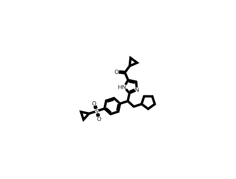 O=C(c1cnc(C(CC2CCCC2)c2ccc(S(=O)(=O)C3CC3)cc2)[nH]1)C1CC1